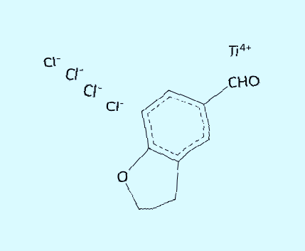 O=Cc1ccc2c(c1)CCO2.[Cl-].[Cl-].[Cl-].[Cl-].[Ti+4]